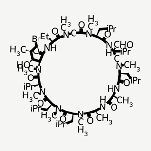 CC[C@@H]1NC(=O)[C@H]([C@H](O)[C@H](C)CBr)N(C)C(=O)[C@H](C(C)C)N(C)C(=O)[C@H](CC(C)C)N(C)C(=O)[C@H](CC(C)C)N(C)C(=O)[C@@H](C)NC(=O)[C@H](C)NC(=O)[C@H](CC(C)C)N(C)C[C@@](C=O)(C(C)C)NC(=O)[C@H](CC(C)C)N(C)C(=O)CN(C)C1=O